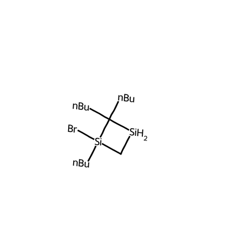 CCCCC1(CCCC)[SiH2]C[Si]1(Br)CCCC